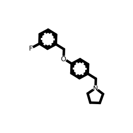 Fc1cccc(COc2ccc(CN3CCCC3)cc2)c1